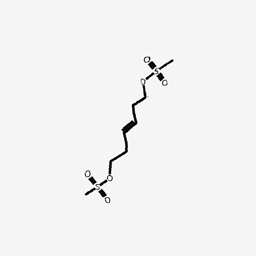 CS(=O)(=O)O[CH]C/C=C/CCOS(C)(=O)=O